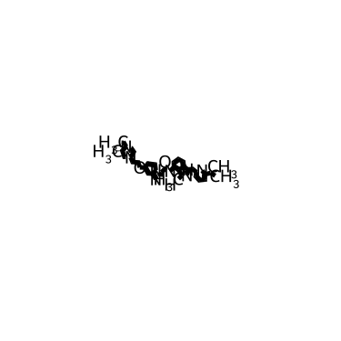 Cc1nn(Cc2cccc(C(C)C)n2)c2cccc(NC(=O)c3cnc4cc(OCCN5CCN(C)[C@@H](C)C5)ccn34)c12